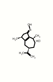 C=C(C)[C@@H]1CC[C@H](C)C2=C(C1)[C@@H](C)CC2=NO.Cl